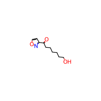 O=C(CCCCCCO)c1ccon1